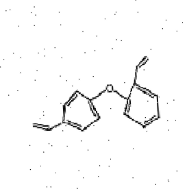 C=Cc1ccc(Oc2ccccc2C=C)cc1